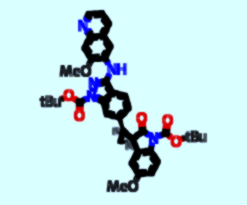 COc1ccc2c(c1)[C@]1(C[C@H]1c1ccc3c(Nc4cc5cccnc5cc4OC)nn(C(=O)OC(C)(C)C)c3c1)C(=O)N2C(=O)OC(C)(C)C